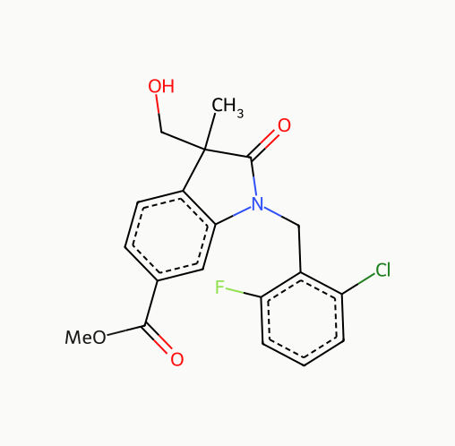 COC(=O)c1ccc2c(c1)N(Cc1c(F)cccc1Cl)C(=O)C2(C)CO